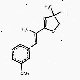 COc1cccc(/C=C(\C)C2=NC(C)(C)CO2)c1